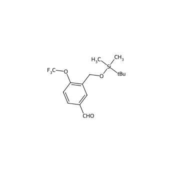 CC(C)(C)[Si](C)(C)OCc1cc(C=O)ccc1OC(F)(F)F